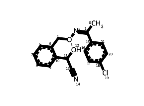 CC(=NOCc1ccccc1C(O)C#N)c1ccc(Cl)cc1